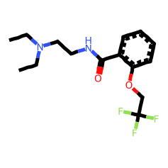 CCN(CC)CCNC(=O)c1ccccc1OCC(F)(F)F